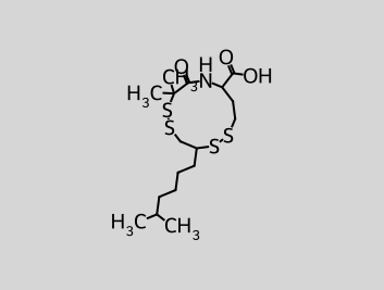 CC(C)CCCCC1CSSC(C)(C)C(=O)NC(C(=O)O)CCSS1